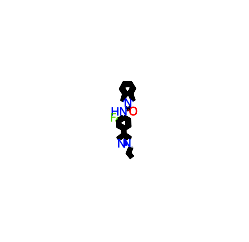 CCCn1cc(-c2ccc(NC(=O)N3Cc4ccccc4C3)c(F)c2)cn1